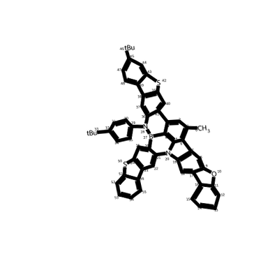 Cc1cc2c3c4c1c1cc5oc6ccccc6c5cc1n4-c1cc4c(cc1B3N(c1ccc(C(C)(C)C)cc1)c1cc3c(cc1-2)sc1cc(C(C)(C)C)ccc13)sc1ccccc14